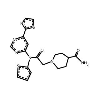 NC(=O)C1CCN(CC(=O)N(c2cc(-c3nccs3)ncn2)c2cccs2)CC1